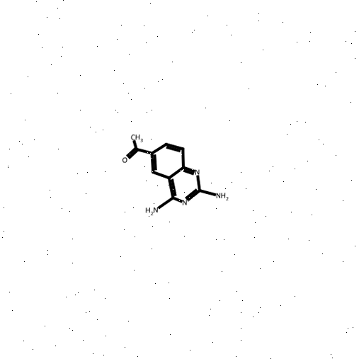 CC(=O)c1ccc2nc(N)nc(N)c2c1